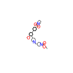 CCOC(=O)N1CCC(CN2CCC(c3cc(-c4ccc(S(=O)(=O)N5CCCC5)cc4)ccc3OC)CC2)CC1